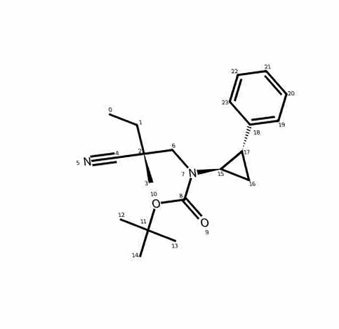 CC[C@@](C)(C#N)CN(C(=O)OC(C)(C)C)[C@@H]1C[C@H]1c1ccccc1